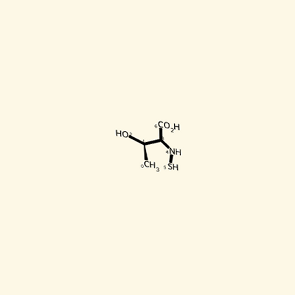 C[C@@H](O)C(NS)C(=O)O